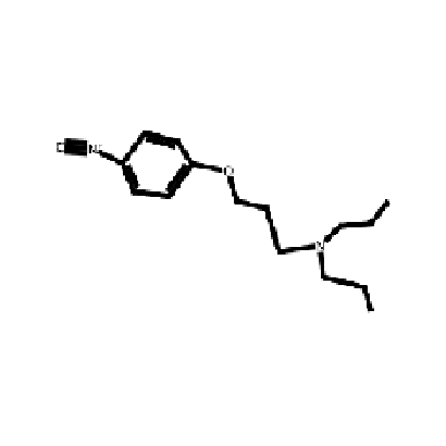 [C-]#[N+]c1ccc(OCCCN(CCC)CCC)cc1